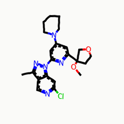 COC1(c2cc(N3CCCCC3)cc(-n3nc(C)c4cnc(Cl)cc43)n2)CCOC1